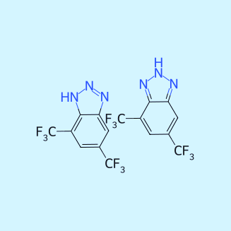 FC(F)(F)c1cc(C(F)(F)F)c2[nH]nnc2c1.FC(F)(F)c1cc(C(F)(F)F)c2n[nH]nc2c1